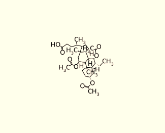 CC[C@H]1[C@@H](OC(C)=O)[C@@H]2[C@H]([C@@H](OC(C)=O)C[C@]3(C)[C@@H]([C@H](C)CCC(=O)O)CC[C@@H]23)[C@@]2(C)CC[C@@H](OC(C)=O)C[C@@H]12